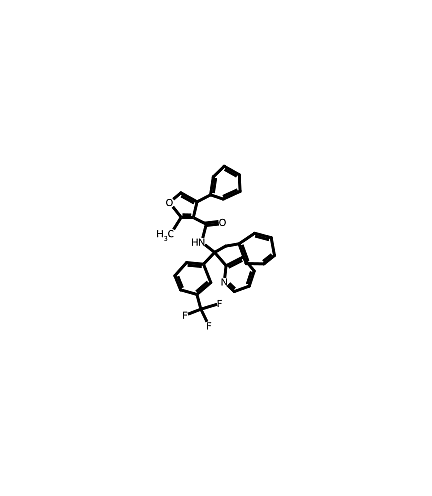 Cc1occ(-c2ccccc2)c1C(=O)NC(Cc1ccccc1)(c1cccc(C(F)(F)F)c1)c1ccccn1